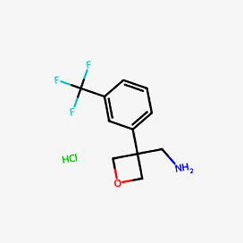 Cl.NCC1(c2cccc(C(F)(F)F)c2)COC1